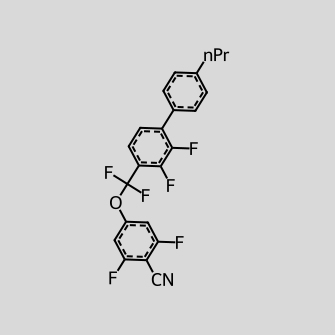 CCCc1ccc(-c2ccc(C(F)(F)Oc3cc(F)c(C#N)c(F)c3)c(F)c2F)cc1